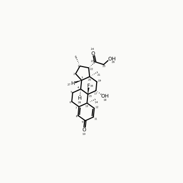 C[C@H]1C[C@H]2[C@@H]3CCC4=CC(=O)C=C[C@]4(C)[C@@]3(F)[C@@H](O)C[C@]2(C)[C@H]1C(=O)CO